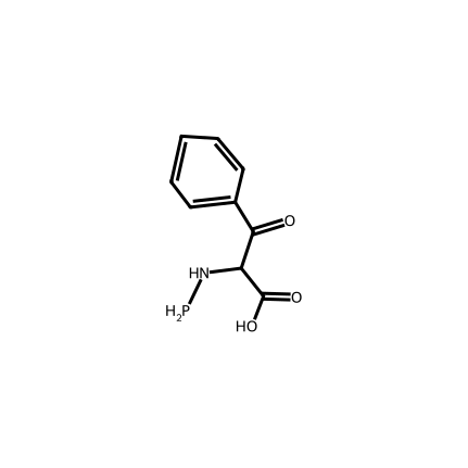 O=C(O)C(NP)C(=O)c1ccccc1